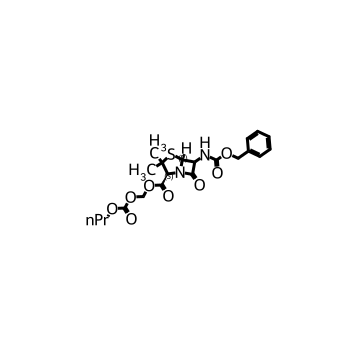 CCCOC(=O)OCOC(=O)[C@@H]1N2C(=O)C(NC(=O)OCc3ccccc3)[C@H]2SC1(C)C